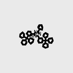 c1cccc(C2=NC(c3cccc(C(c4ccccc4)(c4ccccc4)c4ccccc4)c3)NC(c3cccc(C(c4ccccc4)(c4ccccc4)c4ccccc4)c3)=N2)c#1